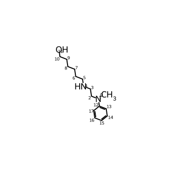 CN(CCNCCCCCCO)c1ccccc1